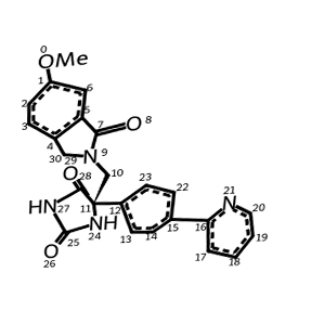 COc1ccc2c(c1)C(=O)N(C[C@@]1(c3ccc(-c4ccccn4)cc3)NC(=O)NC1=O)C2